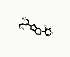 C=C/C(=C\C=C/C)n1cc2c(n1)CCN(c1cn[nH]c(=O)c1Cl)C2